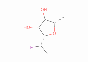 CC(I)[C@H]1O[C@@H](C)C(O)[C@H]1O